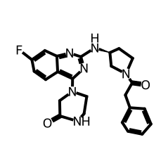 O=C1CN(c2nc(N[C@H]3CCN(C(=O)Cc4ccccc4)C3)nc3cc(F)ccc23)CCN1